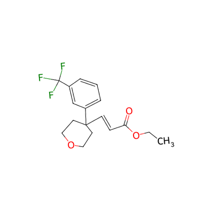 CCOC(=O)/C=C/C1(c2cccc(C(F)(F)F)c2)CCOCC1